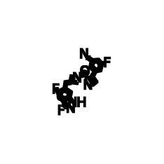 N#Cc1cc(F)cc(C2CC=NN2C(=O)N2CC(=Cc3cc4[nH]nc(F)c4cc3F)C2)c1